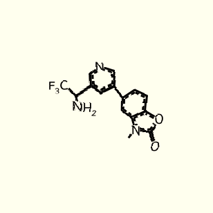 Cn1c(=O)oc2ccc(-c3cncc(C(N)C(F)(F)F)c3)cc21